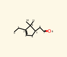 CCC1=CCC(CC=O)C1(C)C